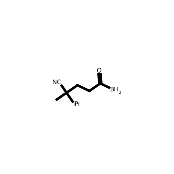 BC(=O)CCC(C)(C#N)C(C)C